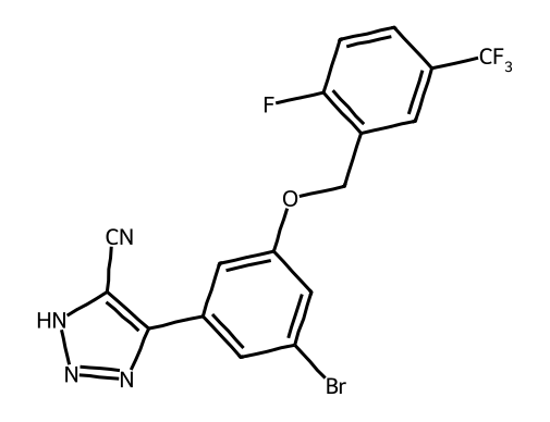 N#Cc1[nH]nnc1-c1cc(Br)cc(OCc2cc(C(F)(F)F)ccc2F)c1